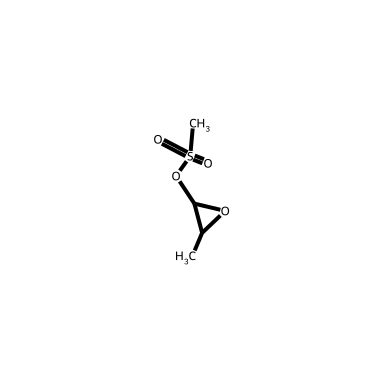 CC1OC1OS(C)(=O)=O